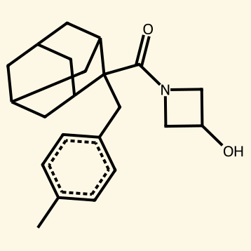 Cc1ccc(CC2(C(=O)N3CC(O)C3)C3CC4CC(C3)CC2C4)cc1